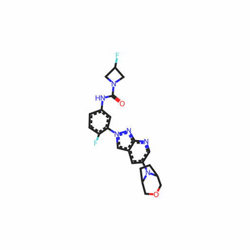 O=C(Nc1ccc(F)c(-n2cc3cc(N4C5CCC4COC5)cnc3n2)c1)N1CC(F)C1